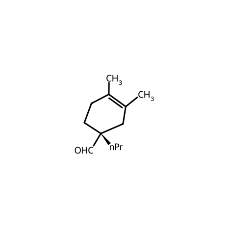 CCC[C@@]1(C=O)CCC(C)=C(C)C1